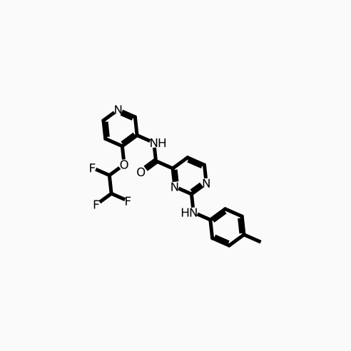 Cc1ccc(Nc2nccc(C(=O)Nc3cnccc3OC(F)C(F)F)n2)cc1